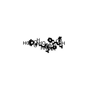 CC(C)C[C@@H](/C=C/[C@H](Cc1ccccc1)C(=O)N1CCCC1C(=O)N[C@H](C(=O)NC(CCCNC(=O)OC1CC(C)(C)N(O)C(C)(C)C1)C(=O)O)C(C)C)NC(=O)OC(C)(C)C